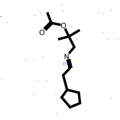 CC(=O)OC(C)(C)C/N=C/CC1CCCC1